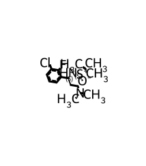 CN(C)CC[C@H](N[S@+]([O-])C(C)(C)C)c1cccc(Cl)c1F